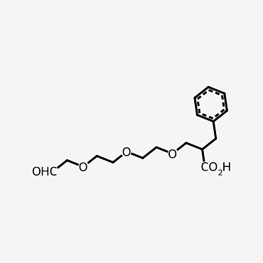 O=CCOCCOCCOCC(Cc1ccccc1)C(=O)O